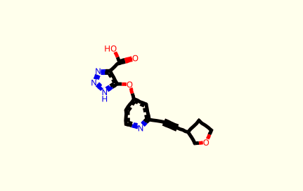 O=C(O)c1nn[nH]c1Oc1ccnc(C#CC2CCOC2)c1